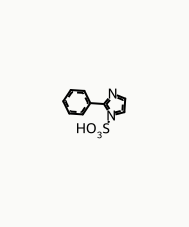 O=S(=O)(O)n1ccnc1-c1ccccc1